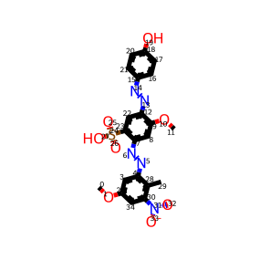 COc1cc(N=Nc2cc(OC)c(N=Nc3ccc(O)cc3)cc2S(=O)(=O)O)c(C)c([N+](=O)[O-])c1